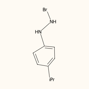 CC(C)c1ccc(NNBr)cc1